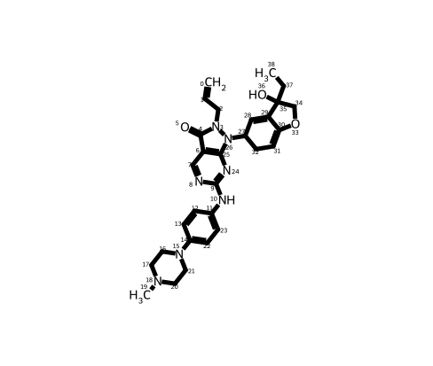 C=CCn1c(=O)c2cnc(Nc3ccc(N4CCN(C)CC4)cc3)nc2n1C1C=C2C(=CC1)OCC2(O)CC